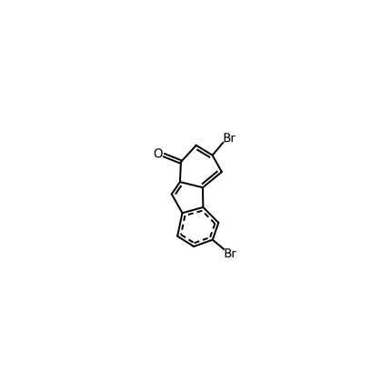 O=C1C=C(Br)C=C2C1=Cc1ccc(Br)cc12